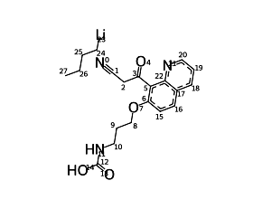 N#CCC(=O)c1c(OCCCNC(=O)O)ccc2cccnc12.[Li][CH2]CCC